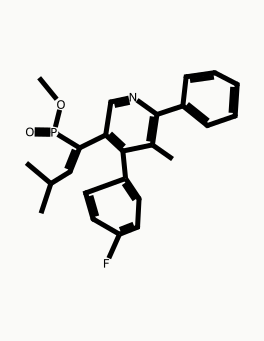 CO[P](=O)C(=CC(C)C)c1cnc(-c2ccccc2)c(C)c1-c1ccc(F)cc1